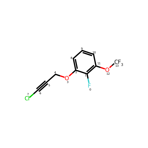 Fc1c(OCC#CCl)cccc1OC(F)(F)F